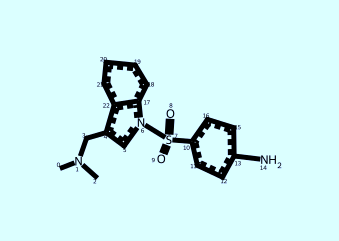 CN(C)Cc1cn(S(=O)(=O)c2ccc(N)cc2)c2ccccc12